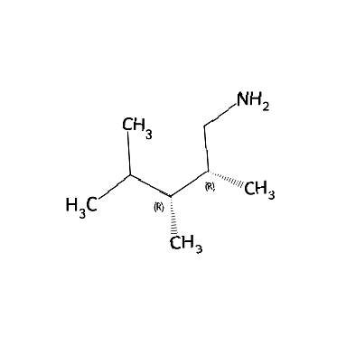 CC(C)[C@@H](C)[C@@H](C)CN